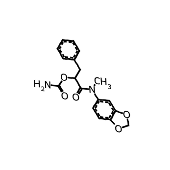 CN(C(=O)C(Cc1ccccc1)OC(N)=O)c1ccc2c(c1)OCO2